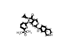 CP(C)(=O)c1cccc(-n2c3nc(Nc4ccc5c(c4)CNCC5)ncc3c(=O)n2C2CC2)n1